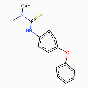 CC(=O)ON(C)C(=S)Nc1ccc(Oc2ccccc2)cc1